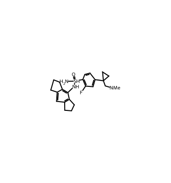 CNCC1(c2ccc([SH](N)(=O)Nc3c4c(cc5c3CCC5)CCC4)c(F)c2)CC1